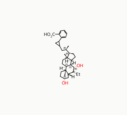 CC[C@H]1[C@@H](O)[C@@H]2[C@H](CC[C@]3(C)[C@@H]([C@H](C)CC4CC4c4ccccc4C(=O)O)CC[C@@H]23)[C@@]2(C)CC[C@@H](O)C[C@@H]12